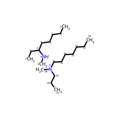 CCCCCC(CC)NC.CCCCCCCN(C)CCC